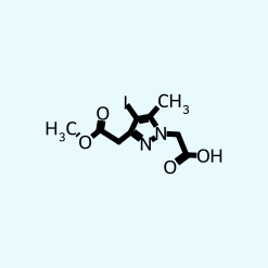 COC(=O)Cc1nn(CC(=O)O)c(C)c1I